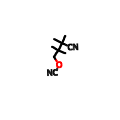 CC(C)(C#N)C(C)(C)COC#N